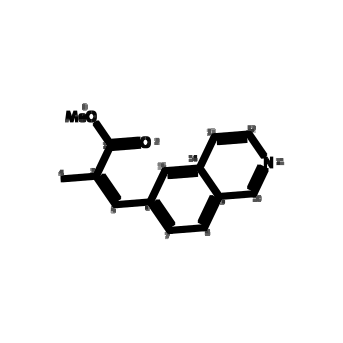 COC(=O)C(C)=Cc1ccc2cnccc2c1